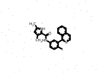 Cc1cc(C)c(C(=O)Nc2ccc(I)c(-c3nccc4ccccc34)c2)[nH]1